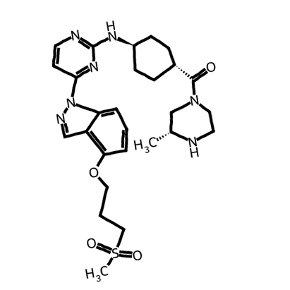 C[C@@H]1CN(C(=O)[C@H]2CC[C@H](Nc3nccc(-n4ncc5c(OCCCS(C)(=O)=O)cccc54)n3)CC2)CCN1